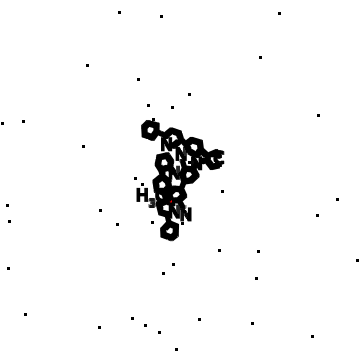 Cc1cc(C#N)cc(-c2ccc(-n3c4ccccc4c4ccc(-c5ccc(-c6ccccc6)nc5)cc43)c(C#N)c2-n2c3ccccc3c3ccc(-c4ccc(-c5ccccc5)nc4)cc32)c1